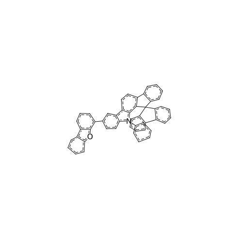 c1ccc(-n2c3ccc(-c4cccc5c4oc4ccccc45)cc3c3ccc4c(c32)C2(c3ccccc3-c3ccccc32)c2ccccc2-4)cc1